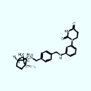 CC1(C)[C@@H]2CC[C@@]1(C)[C@@H](NCc1ccc(CNc3cccc(N4CCC(=O)NC4=O)c3)cc1)C2